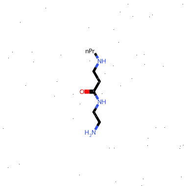 CCCNCCC(=O)NCCN